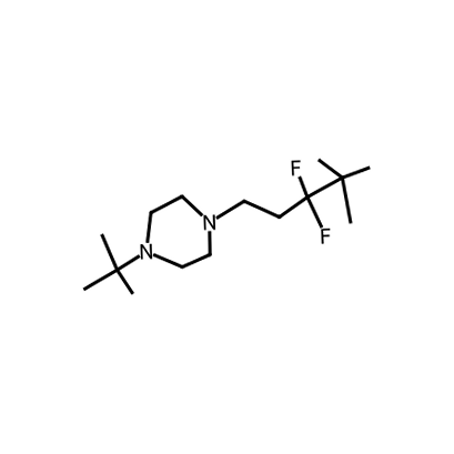 CC(C)(C)N1CCN(CCC(F)(F)C(C)(C)C)CC1